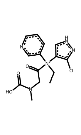 CC[N+](C(=O)CN(C)C(=O)O)(c1cccnc1)c1c[nH]nc1Cl